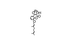 CC(C)=CCC/C(C)=C/COc1cccc2c(OC(C)C)c(O)c(=O)oc12